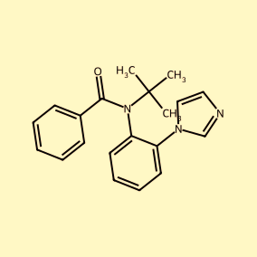 CC(C)(C)N(C(=O)c1ccccc1)c1ccccc1-n1ccnc1